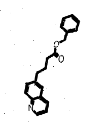 O=C(CCCc1ccc2ncccc2c1)OCc1ccccc1